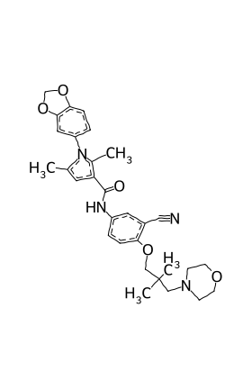 Cc1cc(C(=O)Nc2ccc(OCC(C)(C)CN3CCOCC3)c(C#N)c2)c(C)n1-c1ccc2c(c1)OCO2